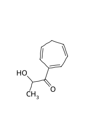 CC(O)C(=O)C1=CC=CCC=C1